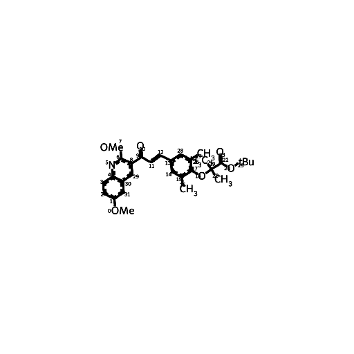 COc1ccc2nc(OC)c(C(=O)/C=C/c3cc(C)c(OC(C)(C)C(=O)OC(C)(C)C)c(C)c3)cc2c1